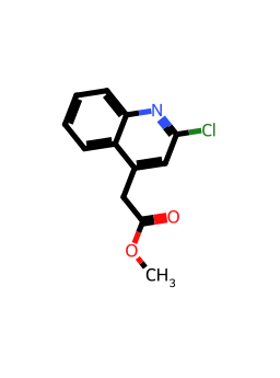 COC(=O)Cc1cc(Cl)nc2ccccc12